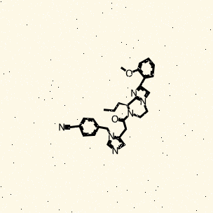 CCC[C@H]1c2nc(-c3ccccc3OC)cn2CCN1C(=O)Cc1cncn1Cc1ccc(C#N)cc1